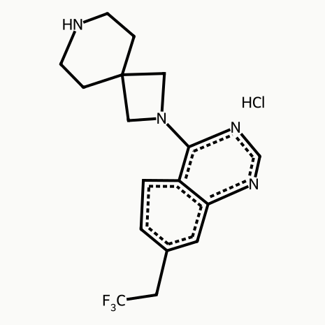 Cl.FC(F)(F)Cc1ccc2c(N3CC4(CCNCC4)C3)ncnc2c1